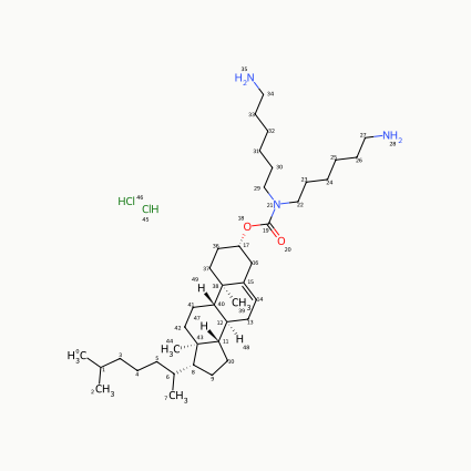 CC(C)CCCC(C)[C@H]1CC[C@H]2[C@@H]3CC=C4C[C@@H](OC(=O)N(CCCCCCN)CCCCCCN)CC[C@]4(C)[C@H]3CC[C@]12C.Cl.Cl